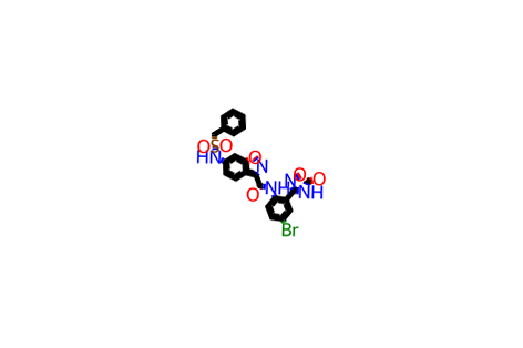 O=C(Nc1ccc(Br)cc1-c1noc(=O)[nH]1)c1noc2cc(NS(=O)(=O)Cc3ccccc3)ccc12